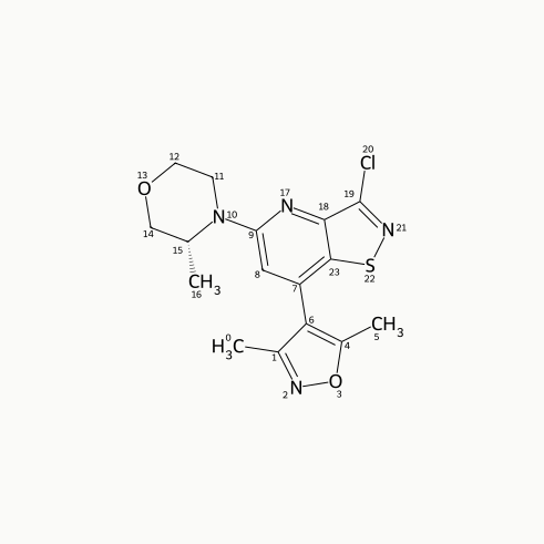 Cc1noc(C)c1-c1cc(N2CCOC[C@H]2C)nc2c(Cl)nsc12